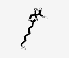 CCC=CC=CCC1=NC(C)(C(N)=O)C=N1